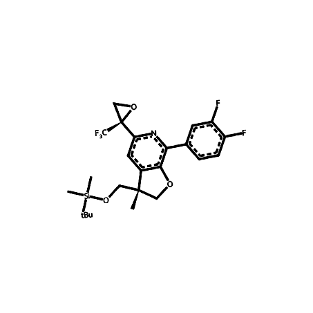 CC(C)(C)[Si](C)(C)OC[C@@]1(C)COc2c1cc([C@]1(C(F)(F)F)CO1)nc2-c1ccc(F)c(F)c1